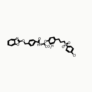 O=C(NC(Oc1ccc(CCCS(=O)(=O)c2ccc(Cl)cc2)cc1)C(=O)O)c1ccc(COc2nc3ccccc3o2)cc1